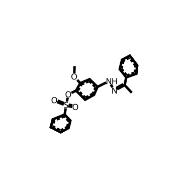 COc1cc(NN=C(C)c2ccccc2)ccc1OS(=O)(=O)c1ccccc1